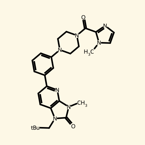 Cn1ccnc1C(=O)N1CCN(c2cccc(-c3ccc4c(n3)n(C)c(=O)n4CC(C)(C)C)c2)CC1